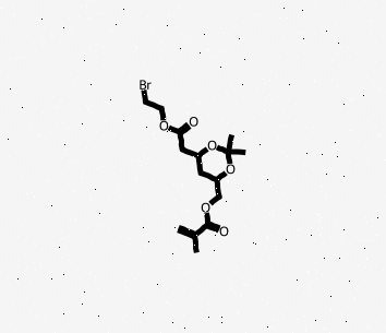 C=C(C)C(=O)OCC1CC(CC(=O)OCCBr)OC(C)(C)O1